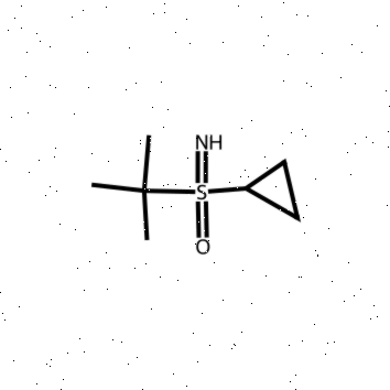 CC(C)(C)S(=N)(=O)C1CC1